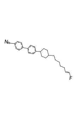 N#Cc1ccc(-c2ccc(C3CCC(CCCCCC=CF)CC3)cc2)cc1